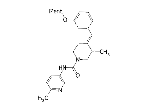 CCCC(C)Oc1cccc(C=C2CCN(C(=O)Nc3ccc(C)nc3)CC2C)c1